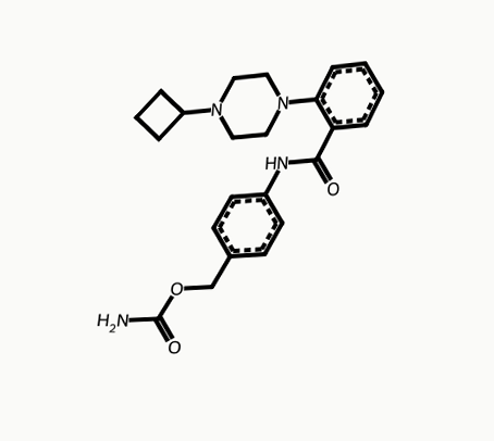 NC(=O)OCc1ccc(NC(=O)c2ccccc2N2CCN(C3CCC3)CC2)cc1